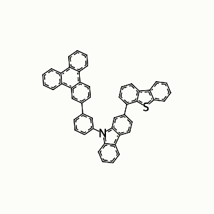 c1cc(-c2ccc3c4ccccc4c4ccccc4c3c2)cc(-n2c3ccccc3c3ccc(-c4cccc5c4sc4ccccc45)cc32)c1